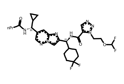 CCCC(=O)N[C@@H](c1cnn2cc([C@@H](NC(=O)c3cnnn3CCOC(F)F)C3CCC(F)(F)CC3)nc2c1)C1CC1